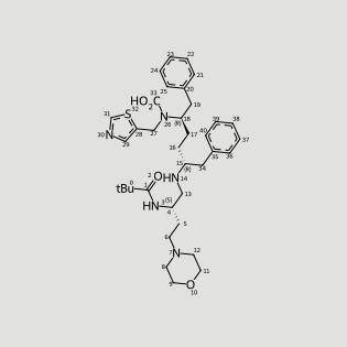 CC(C)(C)C(=O)N[C@@H](CCN1CCOCC1)CN[C@H](CC[C@H](Cc1ccccc1)N(Cc1cncs1)C(=O)O)Cc1ccccc1